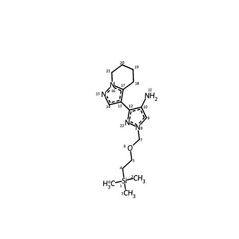 C[Si](C)(C)CCOCn1cc(N)c(-c2cnn3c2CCCC3)n1